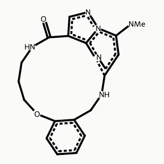 CNc1cc2nc3c(cnn13)C(=O)NCCCOc1ccccc1CN2